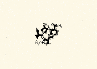 CC1CN(C(=O)C2(C#N)CC2)CC1Nc1c(C(N)=O)cnn2cc(-c3cnn(C)c3)nc12